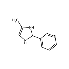 CC1=CNC(c2cccnc2)N1